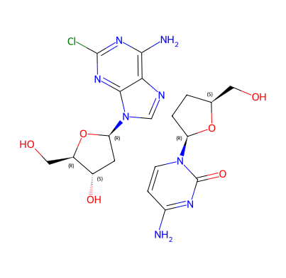 Nc1ccn([C@H]2CC[C@@H](CO)O2)c(=O)n1.Nc1nc(Cl)nc2c1ncn2[C@H]1C[C@H](O)[C@@H](CO)O1